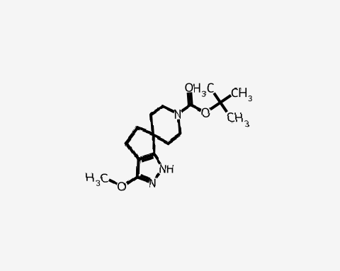 COc1n[nH]c2c1CCC21CCN(C(=O)OC(C)(C)C)CC1